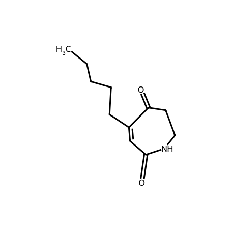 CCCCCC1=CC(=O)NCCC1=O